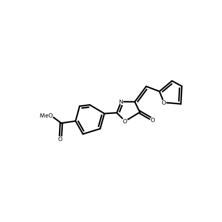 COC(=O)c1ccc(C2=NC(=Cc3ccco3)C(=O)O2)cc1